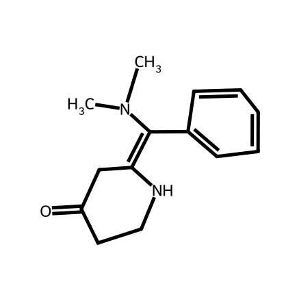 CN(C)C(=C1CC(=O)CCN1)c1ccccc1